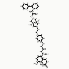 O=C(Nc1ccccc1-c1ccccc1)O[C@@H]1C[C@@H]2CN(CCc3ccc(CCNC[C@H](O)c4ccc(O)c5[nH]c(=O)ccc45)cc3)C[C@@H]2C1